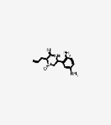 C=CCC1C(=N)NC(c2cc(N)ccc2P)C[S+]1[O-]